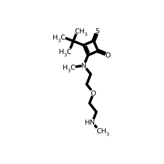 CNCCOCCN(C)c1c(C(C)(C)C)c(=S)c1=O